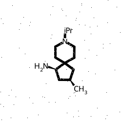 CC(C)N1CCC2(CC1)C[C@@H](C)C[C@H]2N